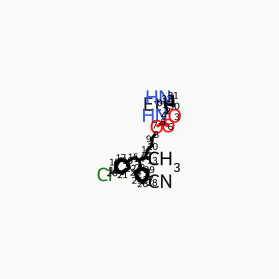 CC[C@@]1(C(=O)NC(=O)OCCCCC(C)C(Cc2ccc(Cl)cc2)c2cccc(C#N)c2)CCN1